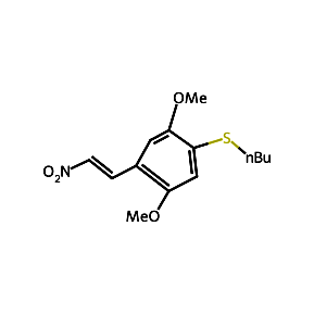 CCCCSc1cc(OC)c(C=C[N+](=O)[O-])cc1OC